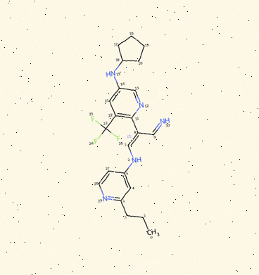 CCCc1cc(N/C=C(\C=N)c2ncc(NC3CCCC3)cc2C(F)(F)F)ccn1